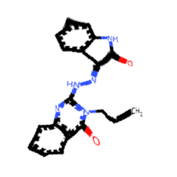 C=CCn1c(N/N=C2/C(=O)Nc3ccccc32)nc2ccccc2c1=O